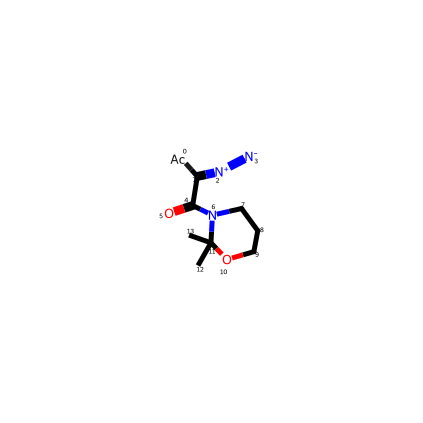 CC(=O)C(=[N+]=[N-])C(=O)N1CCCOC1(C)C